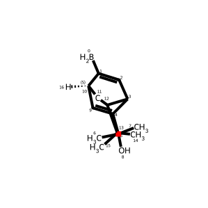 BC1=CC2C(C(C)(C)O)=C[C@@H]1CC2C(C)C